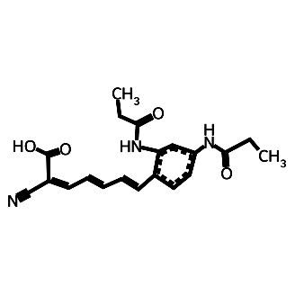 CCC(=O)Nc1ccc(C=CC=CC=C(C#N)C(=O)O)c(NC(=O)CC)c1